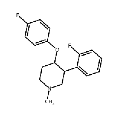 CN1CCC(Oc2ccc(F)cc2)C(c2ccccc2F)C1